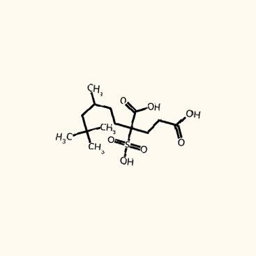 CC(CCC(CCC(=O)O)(C(=O)O)S(=O)(=O)O)CC(C)(C)C